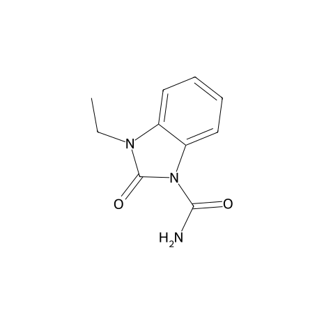 CCn1c(=O)n(C(N)=O)c2ccccc21